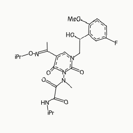 COc1ccc(F)cc1C(O)Cn1cc(/C(C)=N/OC(C)C)c(=O)n(N(C)C(=O)C(=O)NC(C)C)c1=O